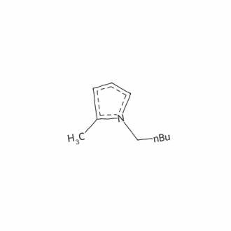 CCCCCn1cccc1C